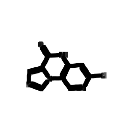 O=c1[nH]c2cc(Cl)ncc2n2cncc12